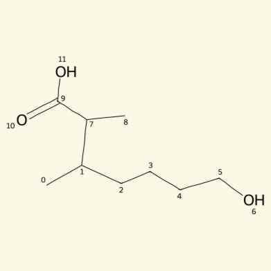 CC(CCCCO)C(C)C(=O)O